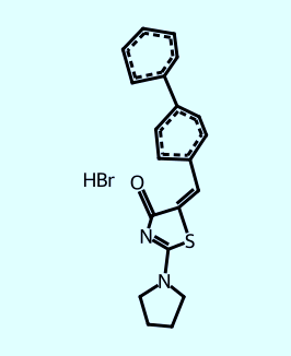 Br.O=C1N=C(N2CCCC2)SC1=Cc1ccc(-c2ccccc2)cc1